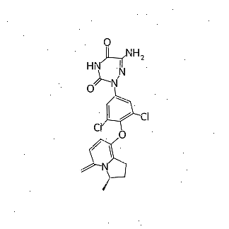 C=C1C=CC(Oc2c(Cl)cc(-n3nc(N)c(=O)[nH]c3=O)cc2Cl)=C2CC[C@@H](C)N12